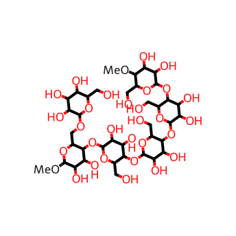 COC1OC(COC2OC(CO)C(O)C(O)C2O)C(OC2OC(CO)C(OC3OC(CO)C(OC4OC(CO)C(OC5OC(CO)C(OC)C(O)C5O)C(O)C4O)C(O)C3O)C(O)C2O)C(O)C1O